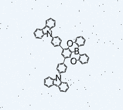 c1ccc2c(c1)Oc1c(-c3ccc(-n4c5ccccc5c5ccccc54)cc3)cc(-c3ccc(-n4c5ccccc5c5ccccc54)cc3)c3c1B2c1ccccc1O3